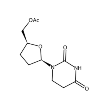 CC(=O)OC[C@@H]1CC[C@H](N2CCC(=O)NC2=O)O1